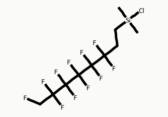 C[Si](C)(Cl)CCC(F)(F)C(F)(F)C(F)(F)C(F)(F)C(F)(F)CF